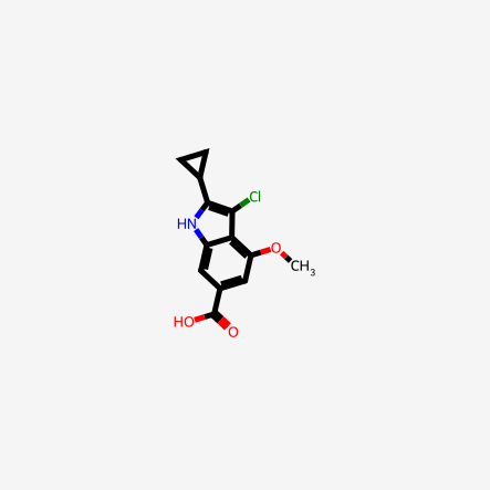 COc1cc(C(=O)O)cc2[nH]c(C3CC3)c(Cl)c12